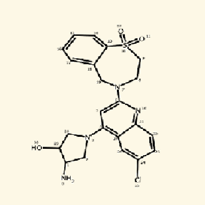 NC1CN(c2cc(N3CCS(=O)(=O)c4ccccc4C3)nc3ccc(Cl)cc23)CC1O